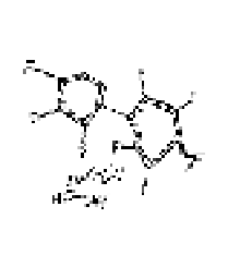 Fc1ccc(-c2c(F)c(F)c(F)c(F)c2F)c(F)c1F.N#CO.N#CO